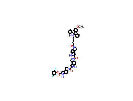 COc1ccc(C(NCCCCCC(=O)N2CCc3c2ccc2[nH]c(C(=O)N4CCc5c4ccc4[nH]c(C(=O)N6CCc7c6ccc6[nH]c(C(=O)Oc8c(F)c(F)cc(F)c8F)cc76)cc54)cc32)(c2ccccc2)c2ccccc2)cc1